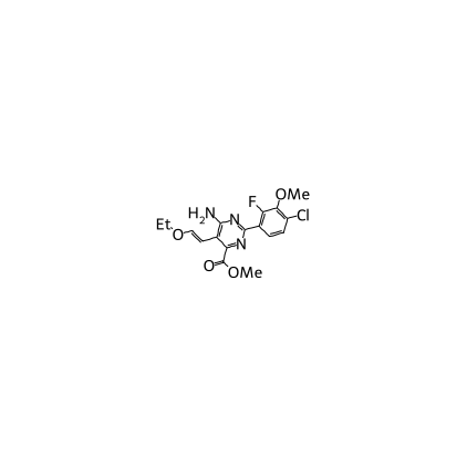 CCOC=Cc1c(N)nc(-c2ccc(Cl)c(OC)c2F)nc1C(=O)OC